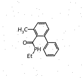 CCPC(=O)c1c(C)cccc1-c1ccccc1